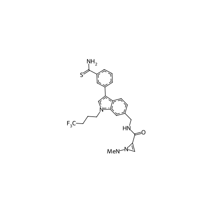 CNN1C=C1C(=O)NCc1ccc2c(-c3cccc(C(N)=S)c3)cn(CCCC(F)(F)F)c2c1